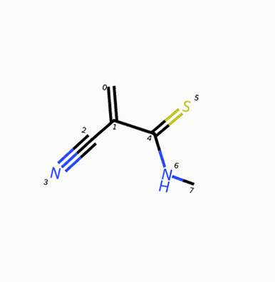 C=C(C#N)C(=S)NC